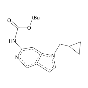 CC(C)(C)OC(=O)Nc1cc2c(ccn2CC2CC2)cn1